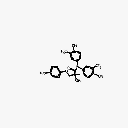 CC(O)(COc1ccc(C#N)cc1)C(=O)N(c1ccc(C#N)c(C(F)(F)F)c1)c1ccc(C#N)c(C(F)(F)F)c1